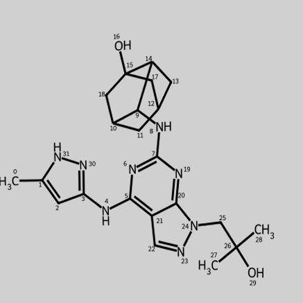 Cc1cc(Nc2nc(NC3C4CC5CC3C(O)(C5)C4)nc3c2cnn3CC(C)(C)O)n[nH]1